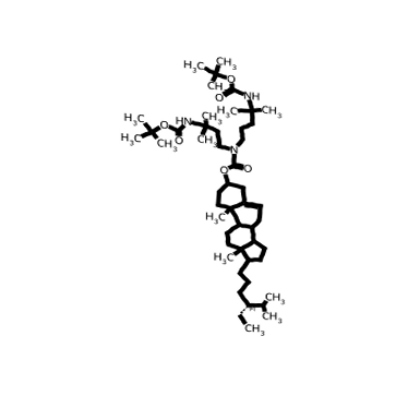 CC[C@H](CCCC1CCC2C3CC=C4CC(OC(=O)N(CCCC(C)(C)NC(=O)OC(C)(C)C)CCC(C)(C)NC(=O)OC(C)(C)C)CCC4(C)C3CCC12C)C(C)C